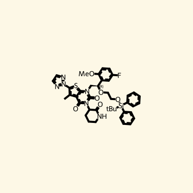 COc1ccc(F)cc1[C@H](Cn1c(=O)n(C2CCCNC2=O)c(=O)c2c(C)c(-n3nccn3)sc21)OCCO[Si](c1ccccc1)(c1ccccc1)C(C)(C)C